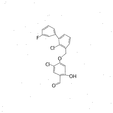 O=Cc1cc(Cl)c(OCc2cccc(-c3cccc(F)c3)c2Cl)cc1O